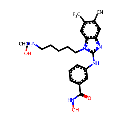 N#Cc1cc2nc(Nc3cccc(C(=O)NO)c3)n(CCCCCN)c2cc1C(F)(F)F.O=CO